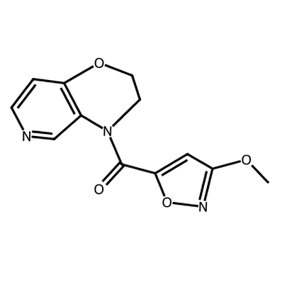 COc1cc(C(=O)N2CCOc3ccncc32)on1